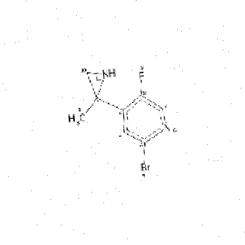 CC1(c2cc(Br)ncc2F)CN1